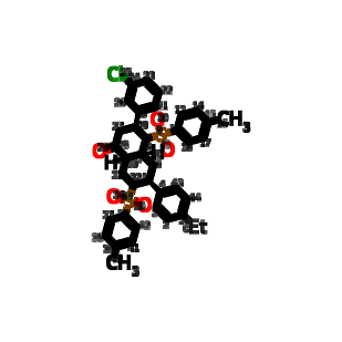 CCc1ccc([C@@H]2C[C@@H]3C(S(=O)(=O)c4ccc(C)cc4)[C@H](c4cccc(Cl)c4)CC(=O)[C@@H]3CC2S(=O)(=O)c2ccc(C)cc2)cc1